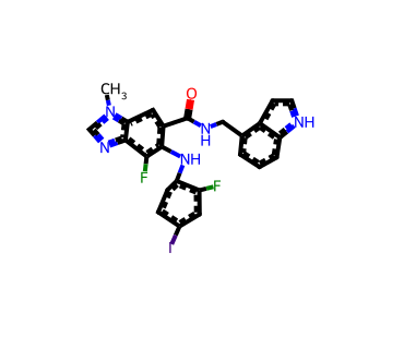 Cn1cnc2c(F)c(Nc3ccc(I)cc3F)c(C(=O)NCc3cccc4[nH]ccc34)cc21